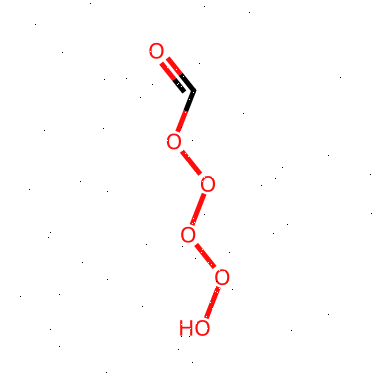 O=COOOOO